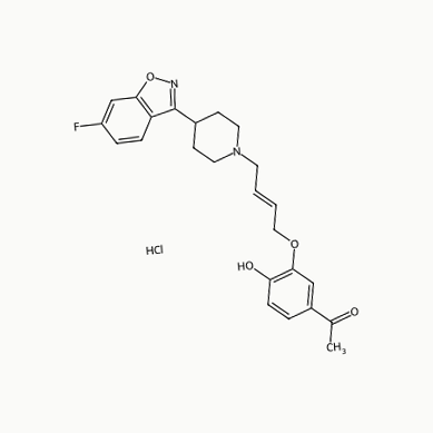 CC(=O)c1ccc(O)c(OC/C=C/CN2CCC(c3noc4cc(F)ccc34)CC2)c1.Cl